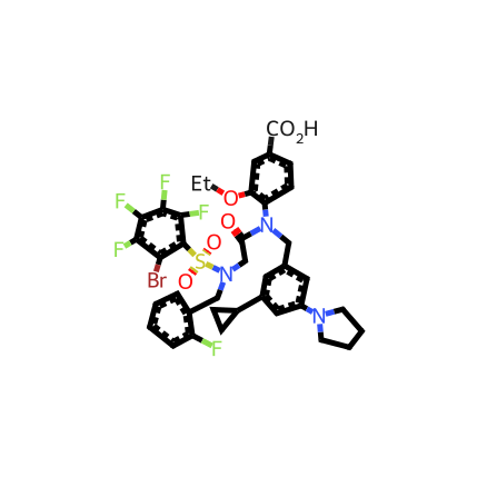 CCOc1cc(C(=O)O)ccc1N(Cc1cc(C2CC2)cc(N2CCCC2)c1)C(=O)CN(Cc1ccccc1F)S(=O)(=O)c1c(F)c(F)c(F)c(F)c1Br